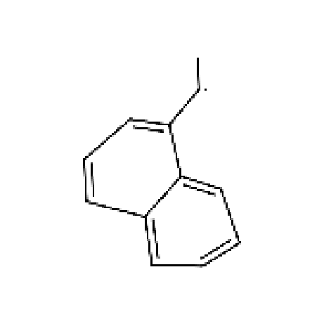 C[CH]c1cccc2ccccc12